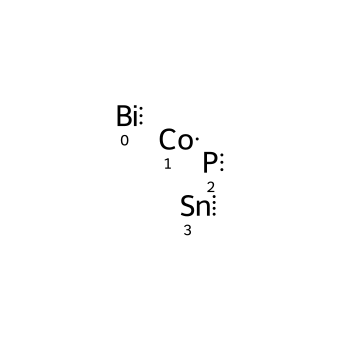 [Bi].[Co].[P].[Sn]